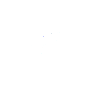 CCCCN(CCCC)c1c([N+](=O)[O-])cc(C(F)(F)F)c2sc(=O)sc12